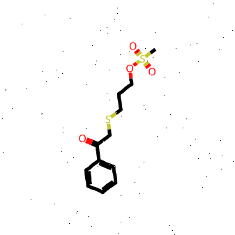 CS(=O)(=O)OCCCSCC(=O)c1ccccc1